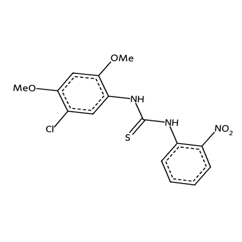 COc1cc(OC)c(NC(=S)Nc2ccccc2[N+](=O)[O-])cc1Cl